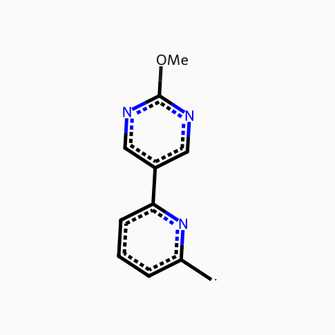 [CH2]c1cccc(-c2cnc(OC)nc2)n1